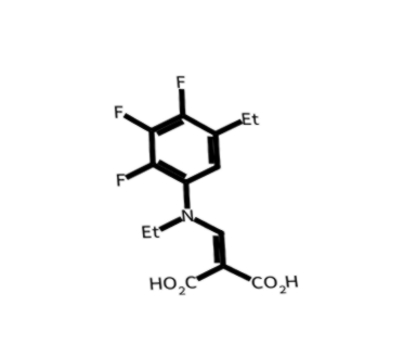 CCc1cc(N(C=C(C(=O)O)C(=O)O)CC)c(F)c(F)c1F